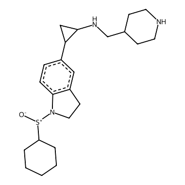 [O-][S+](C1CCCCC1)N1CCc2cc(C3CC3NCC3CCNCC3)ccc21